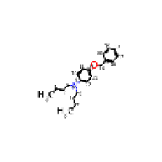 CCCCN(CCCC)c1ccc(OCc2ccccc2)cc1